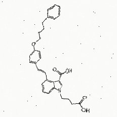 O=C(O)CCCn1cc(C(=O)O)c2c(C=Cc3ccc(OCCCCc4ccccc4)cc3)cccc21